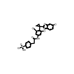 CCS(=N)(=O)c1ccc(CC(=O)Nc2cc(Cl)c(C3(c4nc5ccc(Cl)cc5o4)CC3)c(Cl)c2)cc1